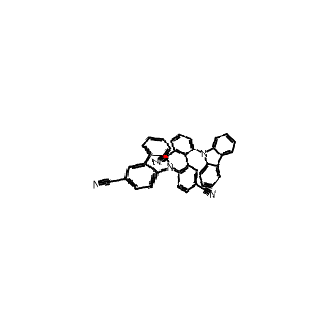 N#Cc1ccc(-n2c3ccccc3c3cc(C#N)ccc32)c(-c2c(C#N)cccc2-n2c3ccccc3c3ccccc32)c1